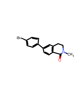 CCC(C)c1ccc(-c2ccc3c(c2)CCN(C)C3=O)cc1